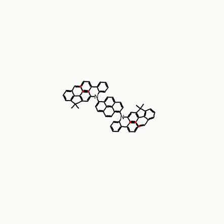 CC1(C)c2cccc3ccc4cc(N(c5ccccc5-c5ccccc5)c5ccc6ccc7c(N(c8cc9c%10c(ccc%11cccc(c%11%10)C9(C)C)c8)c8ccccc8-c8ccccc8)ccc8ccc5c6c87)cc1c4c23